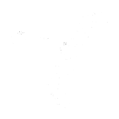 c1ccc(-n2c3ccccc3c3cc(-c4ccc(-c5nc6c(-c7ccc(-c8ccc9sc%10ccccc%10c9c8)cc7)ccc(-c7ccc(-c8ccc9sc%10ccccc%10c9c8)cc7)c6s5)cc4)ccc32)cc1